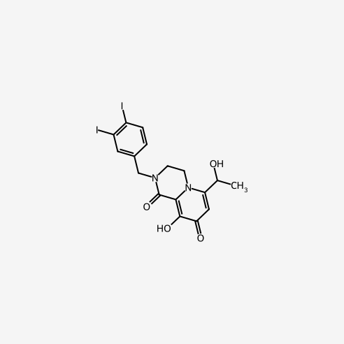 CC(O)c1cc(=O)c(O)c2n1CCN(Cc1ccc(I)c(I)c1)C2=O